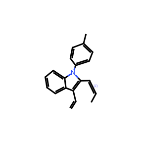 C=Cc1c(/C=C\C)n(-c2ccc(C)cc2)c2ccccc12